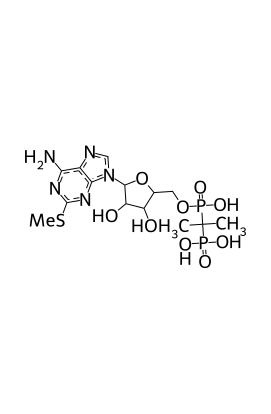 CSc1nc(N)c2ncn(C3OC(COP(=O)(O)C(C)(C)P(=O)(O)O)C(O)C3O)c2n1